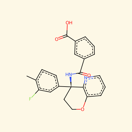 Cc1ccc([C@@]2(NC(=O)c3cccc(C(=O)O)c3)CCOc3cccnc32)cc1F